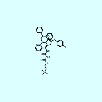 C[Si](C)(C)CCOC(=O)NC(=O)Nc1c2c(c(OC(c3ccccc3)c3ccccc3)c3ncccc13)C(=O)N(Cc1ccc(F)cc1)C2